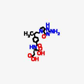 CC(CCn1ccc2[nH]c(N)nc(=O)c21)c1ccc(C(=O)N[C@@H](CCC(=O)O)C(=O)O)cc1